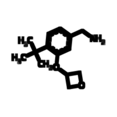 CC(C)(C)c1ccc(CN)cc1OC1COC1